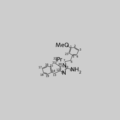 COc1cccc(CCn2c(N)nc(Cc3ccccc3)c2CC(C)C)c1